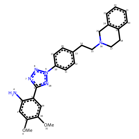 COc1cc(N)c(-c2nnn(-c3ccc(CCN4CCc5ccccc5C4)cc3)n2)cc1OC